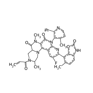 C=CC(=O)N1CC2C(=O)N(C)c3c(c4cc(F)c(-c5c(C)ccc6[nH]c(=O)oc56)nc4n(-c4c(C)ccnc4C(C)C)c3=O)N2CC1C